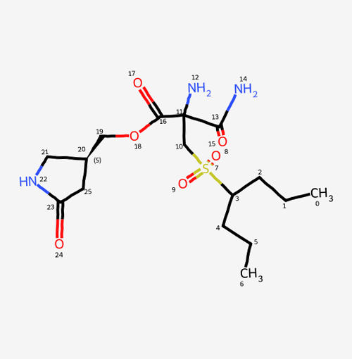 CCCC(CCC)S(=O)(=O)CC(N)(C(N)=O)C(=O)OC[C@@H]1CNC(=O)C1